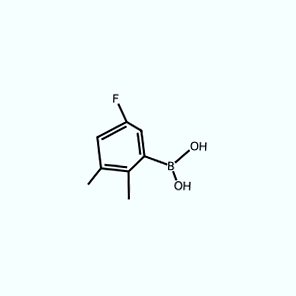 Cc1cc(F)cc(B(O)O)c1C